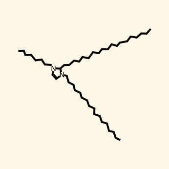 CCCCCCCCCCCCCCCCCCCC1N(CCCCCCCC)C=CN1CCCCCCCCCCCCCCCCC